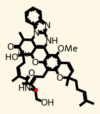 CCC(C)C12Oc3c(CC=C(C)C)c4c(c(OC)c3C3=C1C(C(C)C(=O)C2(O)C/C=C(/C)C(=O)NCCO)n1c(nc2ccccc21)N3)C=CC(C)(CCC=C(C)C)O4